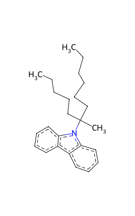 CCCCCCC(C)(CCCCC)n1c2ccccc2c2ccccc21